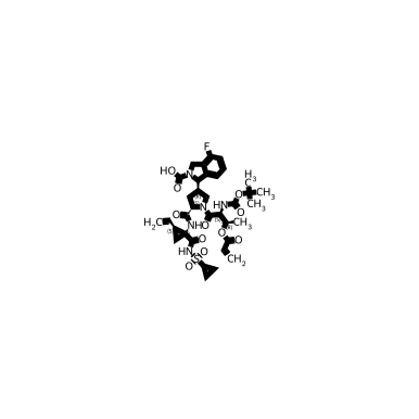 C=CC(=O)O[C@H](C)[C@H](NC(=O)OC(C)(C)C)C(=O)N1C[C@H](C2c3cccc(F)c3CN2C(=O)O)C[C@H]1C(=O)N[C@]1(C(=O)NS(=O)(=O)C2CC2)C[C@H]1C=C